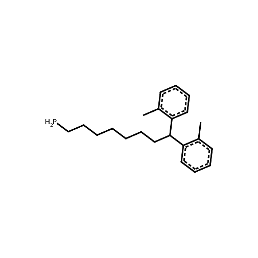 Cc1ccccc1C(CCCCCCCP)c1ccccc1C